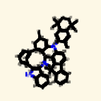 Cc1cc2c(cc1N1C3=CC(C)CC4=C3B(c3c1ccc1c3C(C)(C)c3ccccc3-1)N(C)c1c([nH]c3ccccc13)-c1cccc4c1)C(C)(C)CCC2(C)C